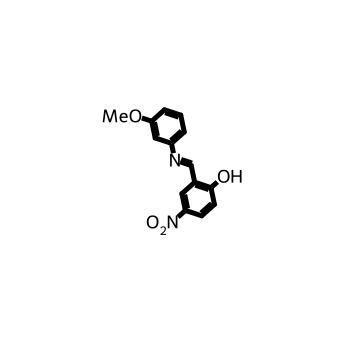 COc1cccc(/N=C/c2cc([N+](=O)[O-])ccc2O)c1